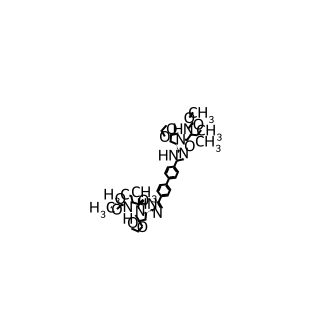 COC(=O)N[C@H](C(=O)N1CC2(C[C@H]1C1=NCC(c3ccc(-c4ccc(-c5cnc([C@@H]6CC7(CN6C(=O)[C@@H](NC(=O)OC)C(C)C)OCCO7)[nH]5)cc4)cc3)N1)OCCO2)C(C)C